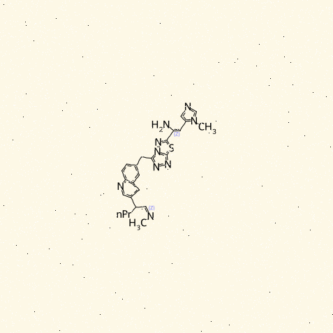 CCCC(/C=N\C)c1cnc2ccc(Cc3nnc4sc(/C(N)=C/c5cncn5C)nn34)cc2c1